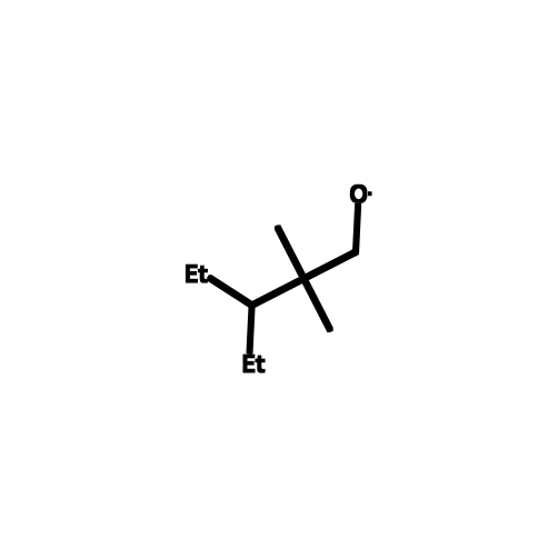 CCC(CC)C(C)(C)C[O]